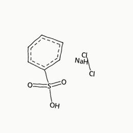 ClCl.O=S(=O)(O)c1ccccc1.[NaH]